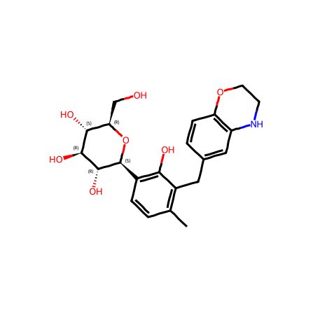 Cc1ccc([C@@H]2O[C@H](CO)[C@@H](O)[C@H](O)[C@H]2O)c(O)c1Cc1ccc2c(c1)NCCO2